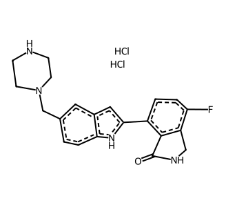 Cl.Cl.O=C1NCc2c(F)ccc(-c3cc4cc(CN5CCNCC5)ccc4[nH]3)c21